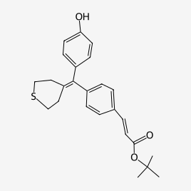 CC(C)(C)OC(=O)C=Cc1ccc(C(=C2CCSCC2)c2ccc(O)cc2)cc1